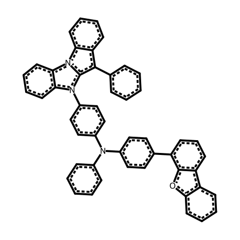 c1ccc(-c2c3ccccc3n3c4ccccc4n(-c4ccc(N(c5ccccc5)c5ccc(-c6cccc7c6oc6ccccc67)cc5)cc4)c23)cc1